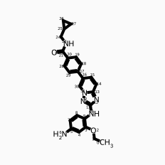 CCOc1cc(N)ccc1Nc1nc2ccc(-c3ccc(C(=O)NCC4CC4)cc3)cn2n1